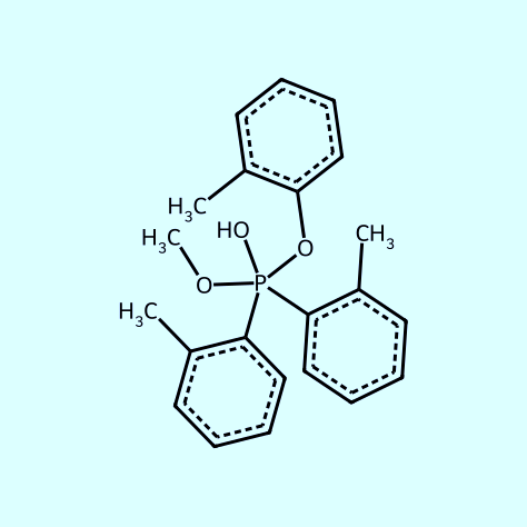 COP(O)(Oc1ccccc1C)(c1ccccc1C)c1ccccc1C